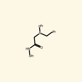 CCCNC(=O)CN(CCC)CC(C)C